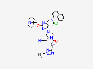 Cn1cnc(/C=C/C(=O)N2CCN(c3nc(OCC45CCCN4CCC5)nc4c3CCN(c3cccc5cccc(Cl)c35)C4)C[C@@H]2CC#N)n1